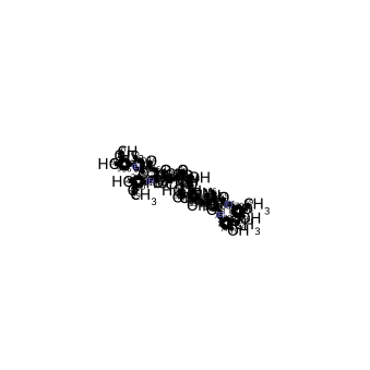 COc1cc(/C=C/C(=O)N(CCS)C(=O)CCN(C(=O)/C=C/c2ccc(O)c(OC)c2)C(=O)[C@H](O)C(C)(C)COP(=O)(O)OP(=O)(O)OC[C@H]2O[C@@H](n3cnc4c(N(C(=O)/C=C/c5ccc(O)c(OC)c5)C(=O)/C=C/c5ccc(O)c(OC)c5)ncnc43)[C@H](O)[C@@H]2OP(=O)(O)O)ccc1O